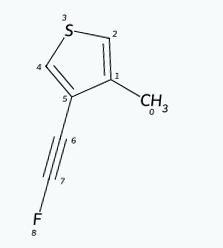 Cc1cscc1C#CF